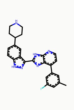 Cc1cc(F)cc(-c2ccnc3[nH]c(-c4n[nH]c5ccc(C6CCNCC6)cc45)nc23)c1